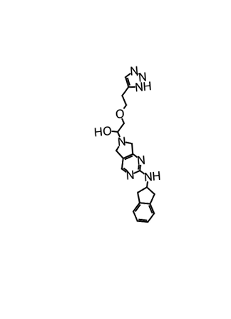 OC(COCCc1cnn[nH]1)N1Cc2cnc(NC3Cc4ccccc4C3)nc2C1